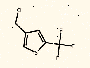 FC(F)(F)c1cc(CCl)cs1